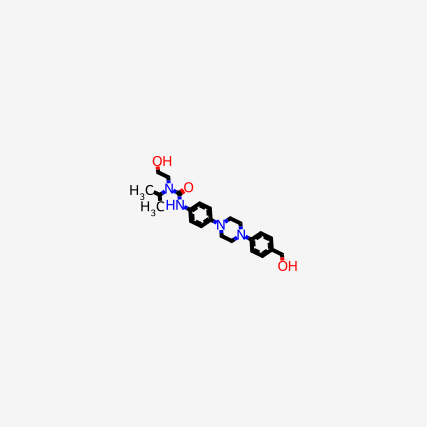 CC(C)N(CCO)C(=O)Nc1ccc(N2CCN(c3ccc(CO)cc3)CC2)cc1